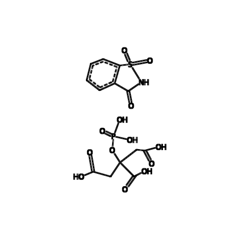 O=C(O)CC(CC(=O)O)(OP(=O)(O)O)C(=O)O.O=C1NS(=O)(=O)c2ccccc21